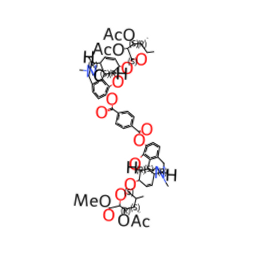 COC(=O)C1O[C@H](OC2C=CC3[C@H]4Cc5ccc(OC(=O)c6ccc(C(=O)Oc7ccc8c9c7O[C@H]7C(O[C@@H]%10OC(C)[C@@H](C)[C@H](OC(C)=O)C%10OC(C)=O)C=CC%10[C@@H](C8)N(C)CC[C@@]9%107)cc6)c6c5[C@@]3(CCN4C)[C@H]2O6)C(C)[C@H](C)[C@H]1OC(C)=O